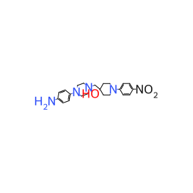 Nc1ccc(N2CCN(CC3(O)CCN(c4ccc([N+](=O)[O-])cc4)CC3)CC2)cc1